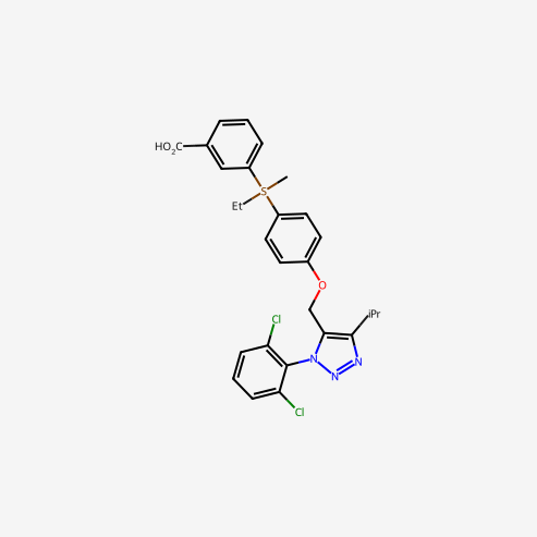 CCS(C)(c1ccc(OCc2c(C(C)C)nnn2-c2c(Cl)cccc2Cl)cc1)c1cccc(C(=O)O)c1